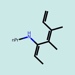 C=C/C(C)=C(C)\C(=C/C)NCCC